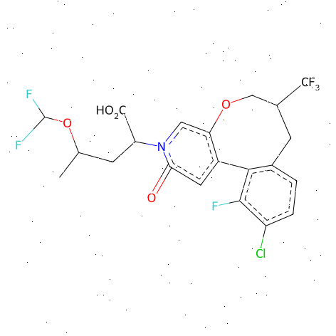 CC(CC(C(=O)O)n1cc2c(cc1=O)-c1c(ccc(Cl)c1F)CC(C(F)(F)F)CO2)OC(F)F